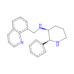 c1ccc([C@@H]2NCCC[C@@H]2NCc2cccc3cccnc23)cc1